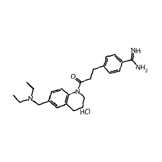 CCN(CC)Cc1ccc2c(c1)CCCN2C(=O)CCc1ccc(C(=N)N)cc1.Cl